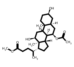 COC(=O)CCC(C)[C@H]1CC[C@H]2[C@@H]3[C@H](OC(C)=O)C[C@@H]4C[C@H](O)CC[C@]4(C)[C@H]3C[C@H](O)[C@]12C